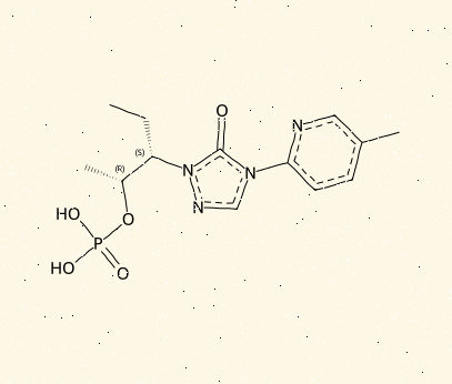 CC[C@@H]([C@@H](C)OP(=O)(O)O)n1ncn(-c2ccc(C)cn2)c1=O